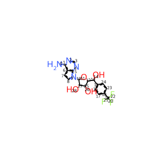 Nc1ncnc2c1ccn2[C@@H]1OC(C(O)c2ccc(C(F)(F)F)cc2)[C@@H](O)[C@H]1O